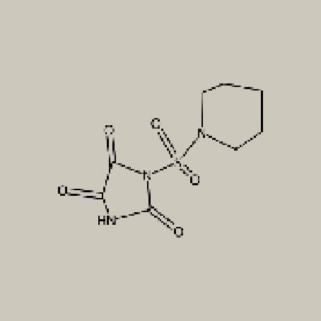 O=C1NC(=O)N(S(=O)(=O)N2CCCCC2)C1=O